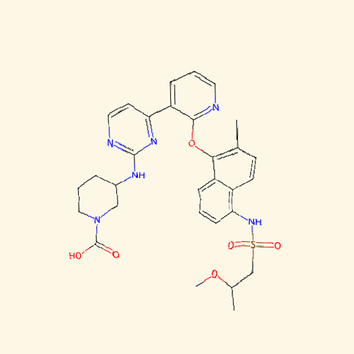 COC(C)CS(=O)(=O)Nc1cccc2c(Oc3ncccc3-c3ccnc(NC4CCCN(C(=O)O)C4)n3)c(C)ccc12